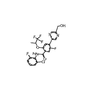 CC(Oc1cc(-c2cnc(CO)cn2)c(F)cc1C(=O)Nc1c(F)cccc1Cl)C(F)(F)F